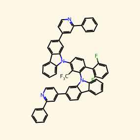 Fc1cccc(F)c1-c1ccc(-n2c3ccccc3c3ccc(-c4ccnc(-c5ccccc5)c4)cc32)c(C(F)(F)F)c1-n1c2ccccc2c2ccc(-c3ccnc(-c4ccccc4)c3)cc21